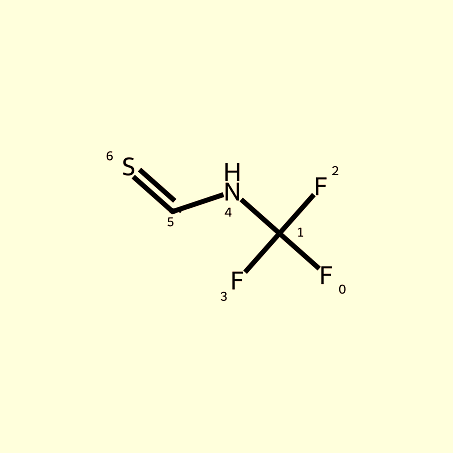 FC(F)(F)N[C]=S